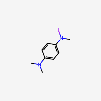 CN(C)c1ccc(N(C)I)cc1